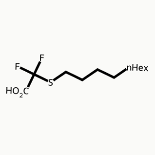 CCCCCCCCCCSC(F)(F)C(=O)O